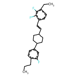 CCCc1ccc(C2CCC(/C=C/c3ccc(CC)c(F)c3F)CC2)cc1F